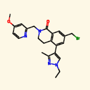 CCn1cc(-c2cc(CBr)cc3c2CCN(Cc2cc(OC)ccn2)C3=O)c(C)n1